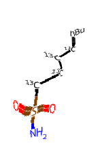 [13CH3][13CH2][13CH2][13CH2][13CH2][13CH2][13CH2][13CH2]S(N)(=O)=O